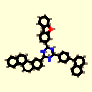 c1ccc2c(-c3ccc(C4=NC(c5ccc6c(c5)oc5ccccc56)NC(c5ccc6c(c5)-c5ccc7ccccc7c5CC6)N4)cc3)cccc2c1